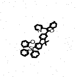 CC1(C)c2cc(-c3oc4ccccc4c3-c3ccccn3)ccc2-c2c1ccc1c2Oc2ccccc2[Si]1(c1ccccc1)c1ccccc1